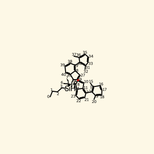 CCCC[SiH]=[Hf]([CH3])([CH3])([CH]1C=Cc2c(-c3c(C)cccc3C)cccc21)[CH]1C=Cc2c(-c3c(C)cccc3C)cccc21